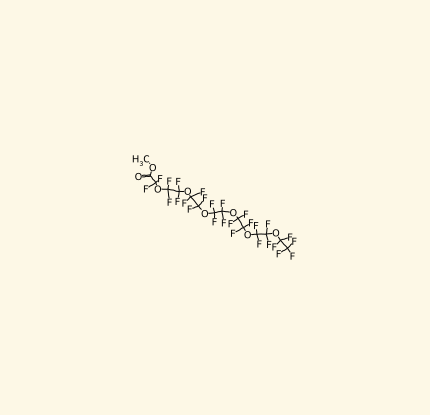 COC(=O)C(F)(F)OC(F)(F)C(F)(F)OC(F)(F)C(F)(F)OC(F)(F)C(F)(F)OC(F)(F)C(F)(F)OC(F)(F)C(F)(F)OC(F)(F)C(F)(F)F